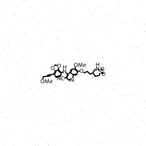 COCC#Cc1ccc(Nc2c(C#N)cnc3cc(OCCCC4CCS(=O)(=O)NC4)c(OC)cc23)c2c1OCO2